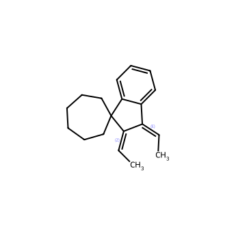 C/C=C1\C(=C/C)c2ccccc2C12CCCCCC2